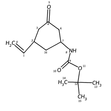 C=CC1CC(=O)CC(NC(=O)OC(C)(C)C)C1